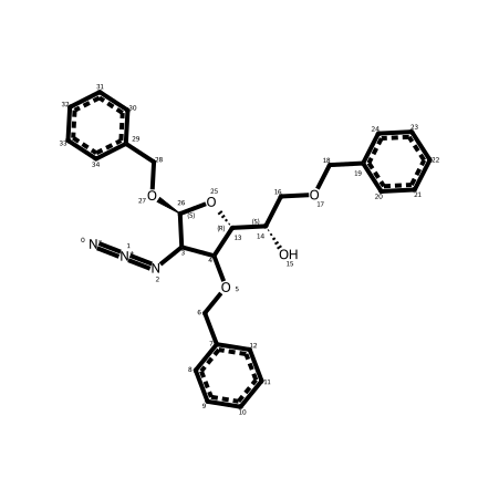 [N-]=[N+]=NC1C(OCc2ccccc2)[C@@H]([C@@H](O)COCc2ccccc2)O[C@@H]1OCc1ccccc1